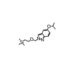 CC(C)Oc1ccc2nn(COCC[Si](C)(C)C)cc2c1